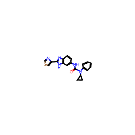 O=C(Nc1ccc2nc(-c3cscn3)[nH]c2c1)N(c1ccccc1)C1CC1